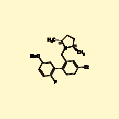 CCc1ccc(-c2cc(OC)ccc2F)c(CN2[C@H](C)CC[C@H]2C)c1